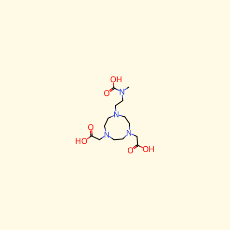 CN(CCN1CCN(CC(=O)O)CCN(CC(=O)O)CC1)C(=O)O